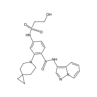 O=C(Nc1cnn2ccccc12)c1ccc(NS(=O)(=O)CCO)cc1N1CCC2(CC1)CC2